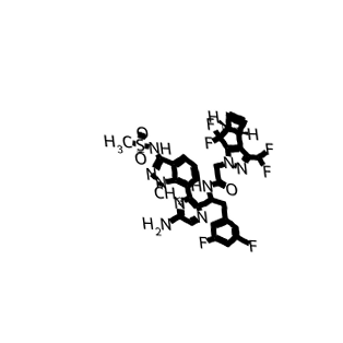 Cn1nc(NS(C)(=O)=O)c2cccc(-c3nc(N)cnc3C(Cc3cc(F)cc(F)c3)NC(=O)Cn3nc(C(F)F)c4c3C(F)(F)[C@@H]3C#C[C@H]43)c21